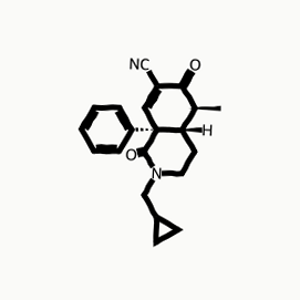 C[C@@H]1C(=O)C(C#N)=C[C@]2(c3ccccc3)C(=O)N(CC3CC3)CC[C@@H]12